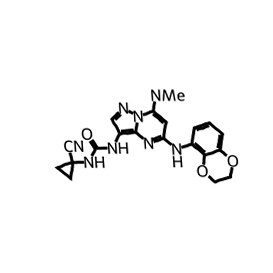 CNc1cc(Nc2cccc3c2OCCO3)nc2c(NC(=O)NC3(C#N)CC3)cnn12